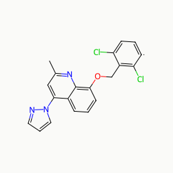 Cc1cc(-n2cccn2)c2cccc(OCc3c(Cl)[c]ccc3Cl)c2n1